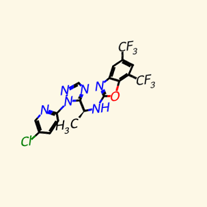 C[C@H](Nc1nc2cc(C(F)(F)F)cc(C(F)(F)F)c2o1)c1ncnn1-c1ccc(Cl)cn1